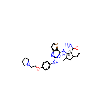 C=CC1CC(C)[C@@H](Nc2nc(Nc3ccc(OCCN4CCCC4)cc3)nc3ccsc23)[C@H]1C(N)=O